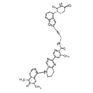 Cc1cc(-c2ncc3c(n2)CCCN3c2cccc3c2cc(C)c(=O)n3C)cnc1C(=O)NCC#Cc1cc2c(C3CCC(=O)NC3=O)cccc2o1